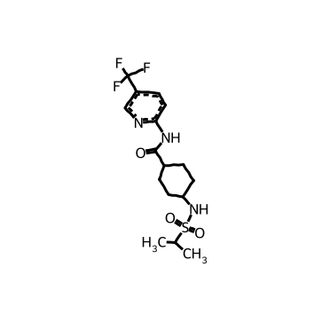 CC(C)S(=O)(=O)NC1CCC(C(=O)Nc2ccc(C(F)(F)F)cn2)CC1